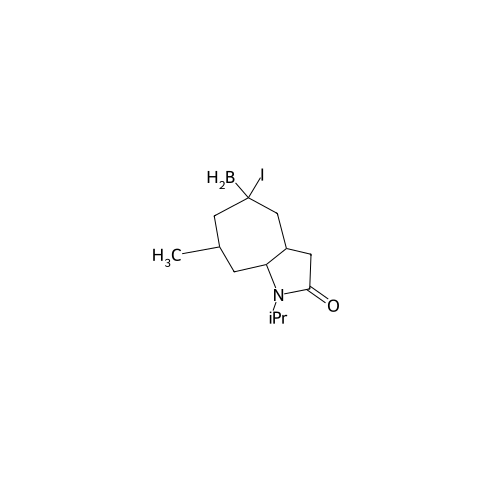 BC1(I)CC(C)CC2C(CC(=O)N2C(C)C)C1